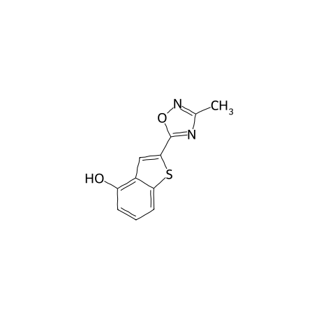 Cc1noc(-c2cc3c(O)cccc3s2)n1